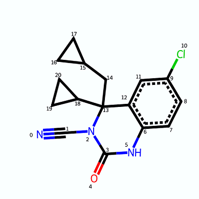 N#CN1C(=O)Nc2ccc(Cl)cc2C1(CC1CC1)C1CC1